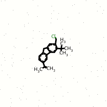 C=C(C)c1ccc2c(c1)-c1cc(C(C)(C)C)c(CCl)cc1C2